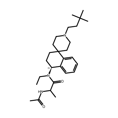 CCN(C(=O)C(C)NC(C)=O)[C@H]1CCC2(CCN(CCC(C)(C)C)CC2)c2ccccc21